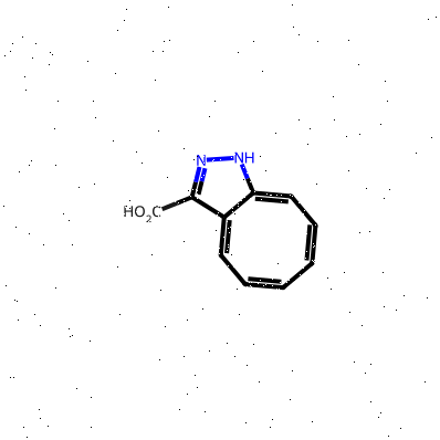 O=C(O)c1n[nH]c2/c1=C\C=C/C=C\C=2